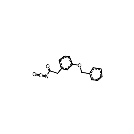 O=C=NC(=O)Cc1cccc(OCc2ccccc2)c1